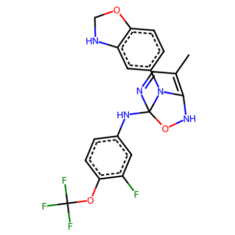 CC1=C2NOC(Nc3ccc(OC(F)(F)F)c(F)c3)(N=C1)N2c1ccc2c(c1)NCO2